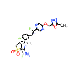 Cc1nnc(COc2cnc(/C(F)=C/c3ccc(F)c([C@]4(C)CC5C[C@](CF)(C(N)=N4)S(=O)(=O)C5)c3)cn2)o1